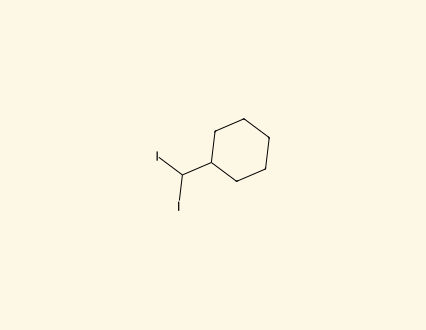 IC(I)C1CCCCC1